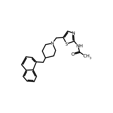 CC(=O)Nc1ncc(CN2CCC(Cc3cccc4ccccc34)CC2)s1